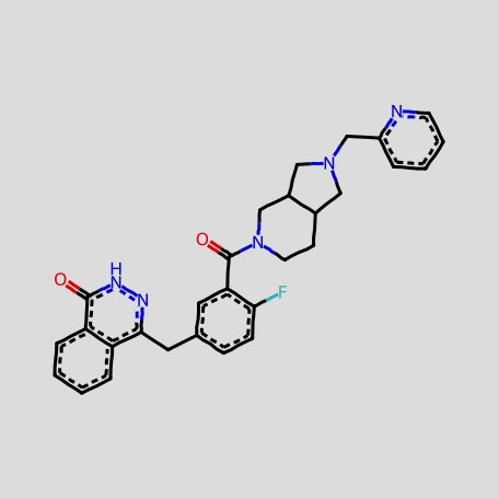 O=C(c1cc(Cc2n[nH]c(=O)c3ccccc23)ccc1F)N1CCC2CN(Cc3ccccn3)CC2C1